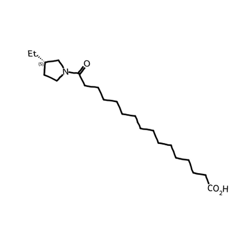 CC[C@H]1CCN(C(=O)CCCCCCCCCCCCCCC(=O)O)C1